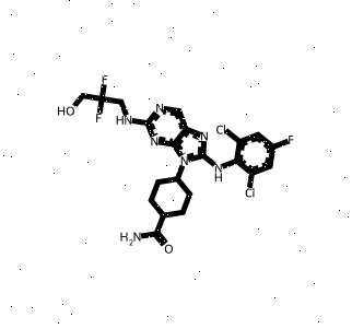 NC(=O)C1CCC(n2c(Nc3c(Cl)cc(F)cc3Cl)nc3cnc(NCC(F)(F)CO)nc32)CC1